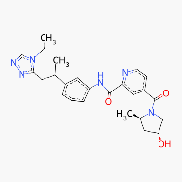 CCn1cnnc1CC(C)c1cccc(NC(=O)c2cc(C(=O)N3C[C@@H](O)C[C@H]3C)ccn2)c1